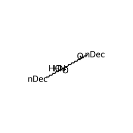 CCCCCCCCCCCCCCCCCC[C@@H](O)CNC(=O)CCCCCCCCCCC(=O)CCCCCCCCCCCCC